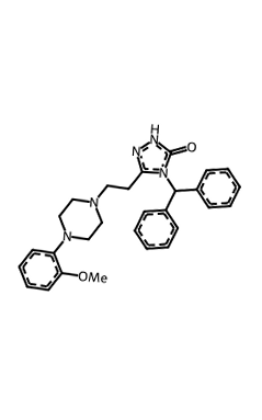 COc1ccccc1N1CCN(CCc2n[nH]c(=O)n2C(c2ccccc2)c2ccccc2)CC1